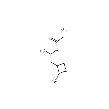 C=CC(=O)OC(C)CC1COC1C